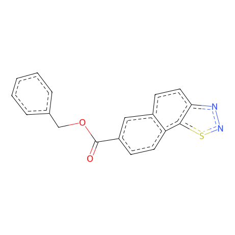 O=C(OCc1ccccc1)c1ccc2c(ccc3nnsc32)c1